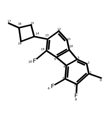 Cc1cc2c(c(F)c1F)-c1c-2ccc(C2CC(C)C2)c1F